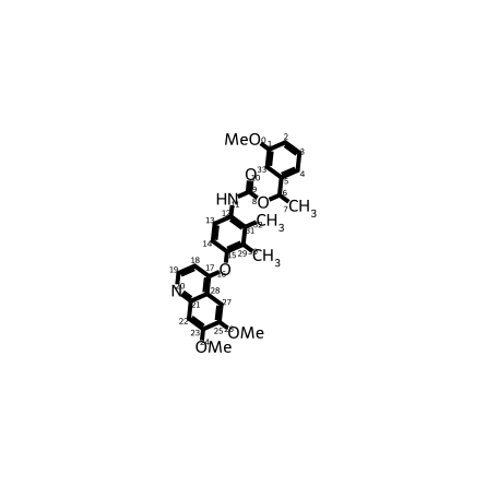 COc1cccc(C(C)OC(=O)Nc2ccc(Oc3ccnc4cc(OC)c(OC)cc34)c(C)c2C)c1